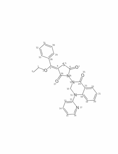 CCOC(=C1SC(=O)N(N2CN(c3ccccn3)c3ccccc3C2=O)C1=O)c1ccccc1